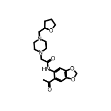 CC(=O)c1cc2c(cc1NC(=O)CN1CCN(CC3CCCO3)CC1)OCO2